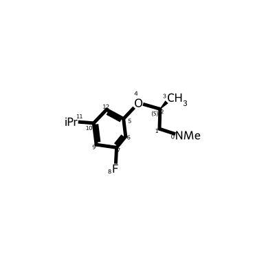 CNC[C@H](C)Oc1cc(F)cc(C(C)C)c1